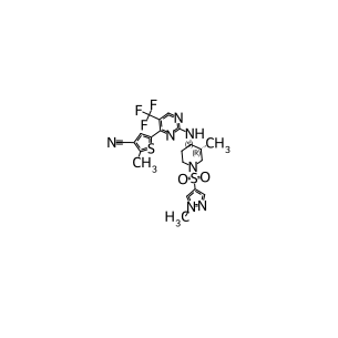 Cc1sc(-c2nc(N[C@H]3CCN(S(=O)(=O)c4cnn(C)c4)C[C@H]3C)ncc2C(F)(F)F)cc1C#N